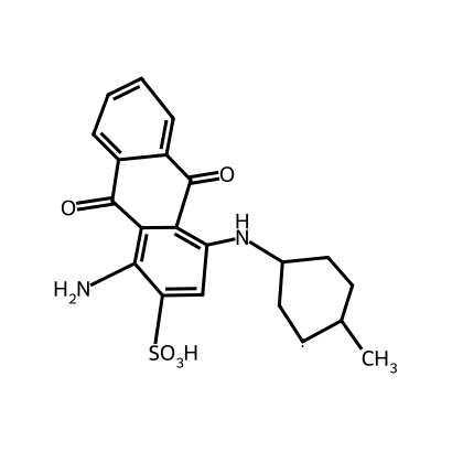 CC1[CH]CC(Nc2cc(S(=O)(=O)O)c(N)c3c2C(=O)c2ccccc2C3=O)CC1